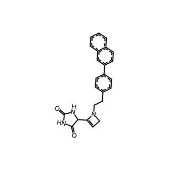 O=C1NC(=O)C(C2=CCN2CCc2ccc(-c3ccc4ccccc4c3)cc2)N1